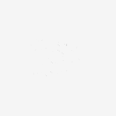 CCc1nn(Cc2ccc(-c3ccccc3-c3nnn[nH]3)cc2)c(=NC(=O)COc2ccccc2)s1